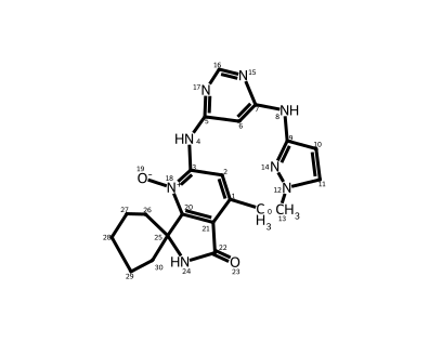 Cc1cc(Nc2cc(Nc3ccn(C)n3)ncn2)[n+]([O-])c2c1C(=O)NC21CCCCC1